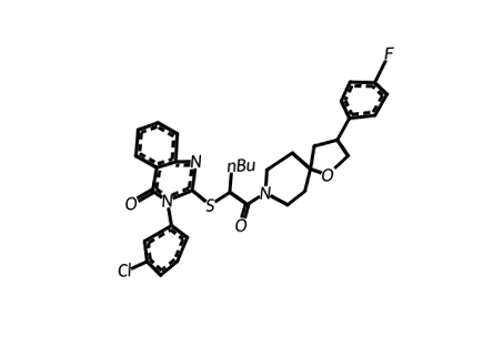 CCCCC(Sc1nc2ccccc2c(=O)n1-c1cccc(Cl)c1)C(=O)N1CCC2(CC1)CC(c1ccc(F)cc1)CO2